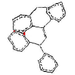 C(=C1c2ccccc2Cc2ccccc21)C(c1ccccc1)c1ccccc1